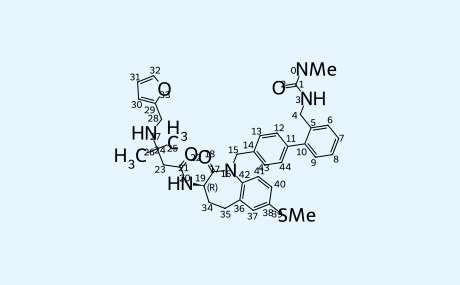 CNC(=O)NCc1ccccc1-c1ccc(CN2C(=O)[C@H](NC(=O)CC(C)(C)NCc3ccco3)CCc3cc(SC)ccc32)cc1